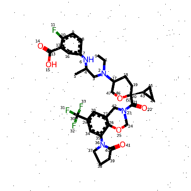 CCN(CC(C)Nc1ccc(F)c(C(=O)O)c1)C1CC[C@@](C(=O)N2COc3c(cc(C(F)(F)F)cc3N3CCCC3=O)C2)(C2CC2)OC1